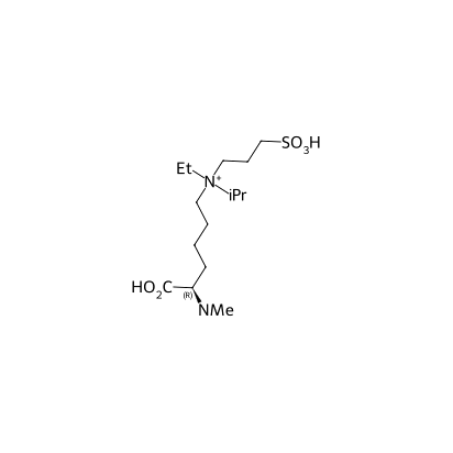 CC[N+](CCCC[C@@H](NC)C(=O)O)(CCCS(=O)(=O)O)C(C)C